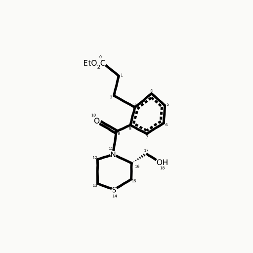 CCOC(=O)CCc1ccccc1C(=O)N1CCSC[C@H]1CO